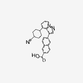 N#CC1CCC(c2cccn3ncc(-c4ccc5cc(C(=O)O)ccc5c4)c23)CC1